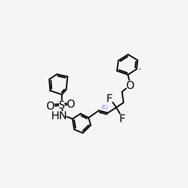 O=S(=O)(Nc1cccc(/C=C/C(F)(F)CCOc2[c]cccc2)c1)c1ccccc1